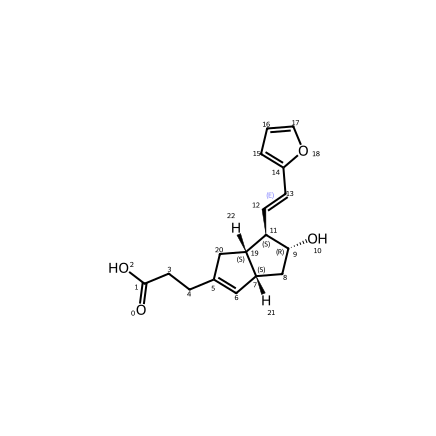 O=C(O)CCC1=C[C@H]2C[C@@H](O)[C@H](/C=C/c3ccco3)[C@H]2C1